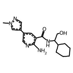 Cn1cc(-c2cnc(N)c(C(=O)NC(CO)C3CCCCC3)c2)cn1